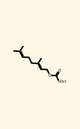 CCCCCCCCC(=O)OC/C=C(\C)CCC=C(C)C